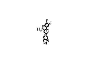 Cc1ncc2c(n1)CN([C@H]1COC(c3cc(F)c(F)cc3F)[C@@H](N)C1)C2